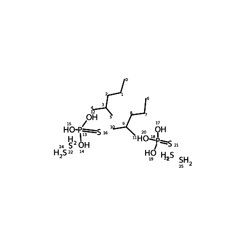 CCCC(C)C.CCCC(C)C.OP(O)(O)=S.OP(O)(O)=S.S.S.S.S